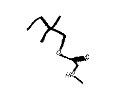 CCC(C)(C)COC(=O)NC